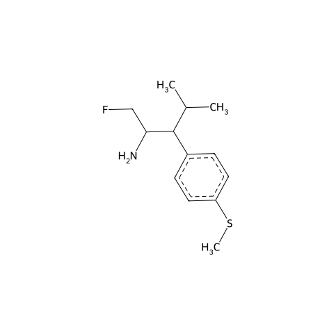 CSc1ccc(C(C(C)C)C(N)CF)cc1